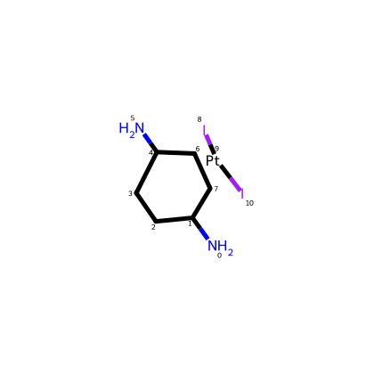 NC1CCC(N)CC1.[I][Pt][I]